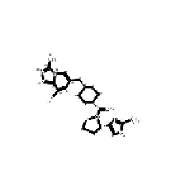 Cc1nc([C@@H]2CCON2C(=O)[C@H]2CC[C@H](Cc3cc(F)c4nnc(C)n4c3)CC2)cs1